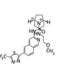 COCCN[C@H]1C[C@H]2CC[C@@H](C1)N2C(=O)Nc1cc2cc(-c3nnc(C)s3)ccc2cn1